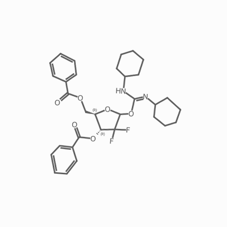 O=C(OC[C@H]1OC(OC(=NC2CCCCC2)NC2CCCCC2)C(F)(F)[C@@H]1OC(=O)c1ccccc1)c1ccccc1